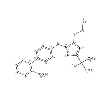 CCC(OC)(OC)c1nc(CCC(C)C)n(Cc2ccc(-c3ccccc3C(=O)O)cc2)n1